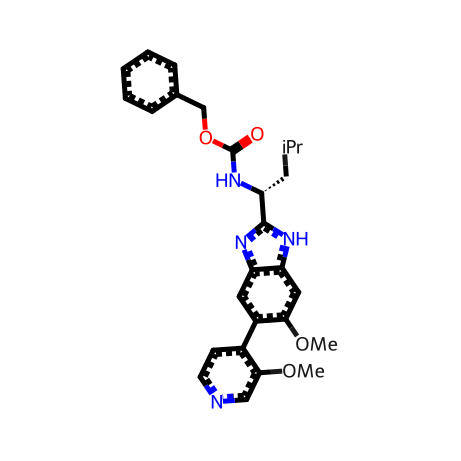 COc1cnccc1-c1cc2nc([C@@H](CC(C)C)NC(=O)OCc3ccccc3)[nH]c2cc1OC